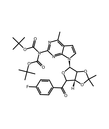 Cc1nc(N(C(=O)OC(C)(C)C)C(=O)OC(C)(C)C)nc2c1ccn2[C@@H]1OC(C(=O)c2ccc(F)cc2)[C@H]2OC(C)(C)OC21